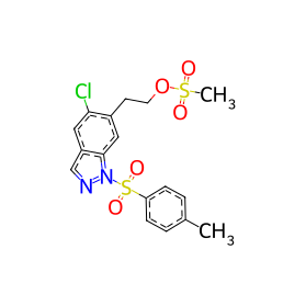 Cc1ccc(S(=O)(=O)n2ncc3cc(Cl)c(CCOS(C)(=O)=O)cc32)cc1